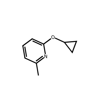 Cc1cccc(OC2CC2)n1